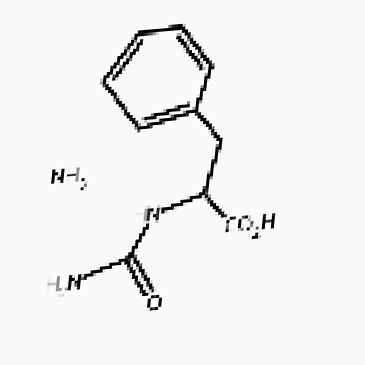 N.NC(=O)NC(Cc1ccccc1)C(=O)O